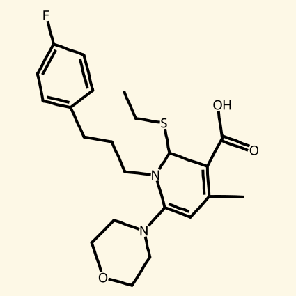 CCSC1C(C(=O)O)=C(C)C=C(N2CCOCC2)N1CCCc1ccc(F)cc1